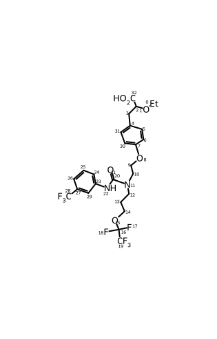 CCOC(Cc1ccc(OCCN(CCCOC(F)(F)C(F)(F)F)C(=O)Nc2cccc(C(F)(F)F)c2)cc1)C(=O)O